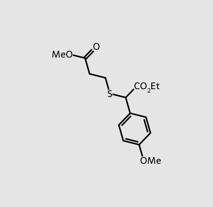 CCOC(=O)C(SCCC(=O)OC)c1ccc(OC)cc1